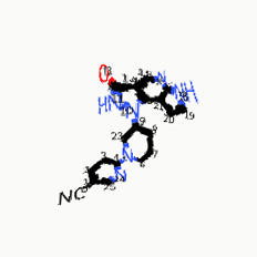 N#Cc1ccc(N2CCCC(n3[nH]c(=O)c4cnc5[nH]ccc5c43)C2)nc1